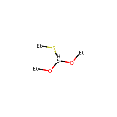 CCO[SiH](OCC)SCC